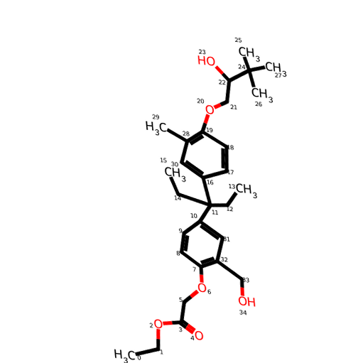 CCOC(=O)COc1ccc(C(CC)(CC)c2ccc(OCC(O)C(C)(C)C)c(C)c2)cc1CO